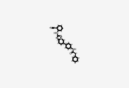 N#Cc1ccccc1Nc1nc2ccc(-c3ccc(NC(=O)Cc4ccccc4)cc3)cn2n1